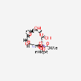 C=C1C[C@H](O)C[C@@H]2CCC[C@H](C[C@@H]3CO[C@H](/C=C/C(C)(C)[C@]4(O)OC(C/C(=C\C(=O)OC)[C@@H]4OC(=O)CCCCCCC)C[C@H](CO)O1)O3)O2